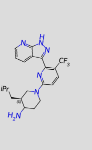 CC(C)C[C@H]1CN(c2ccc(C(F)(F)F)c(-c3n[nH]c4ncccc34)n2)CCC1N